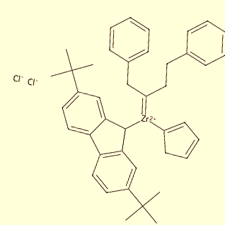 CC(C)(C)c1ccc2c(c1)[CH](/[Zr+2]([C]1=CC=CC1)=[C](/CCc1ccccc1)Cc1ccccc1)c1cc(C(C)(C)C)ccc1-2.[Cl-].[Cl-]